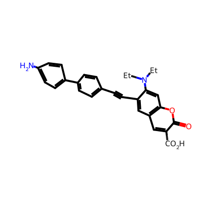 CCN(CC)c1cc2oc(=O)c(C(=O)O)cc2cc1C#Cc1ccc(-c2ccc(N)cc2)cc1